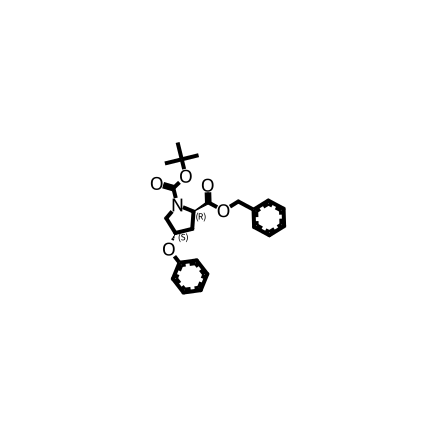 CC(C)(C)OC(=O)N1C[C@@H](Oc2ccccc2)C[C@@H]1C(=O)OCc1ccccc1